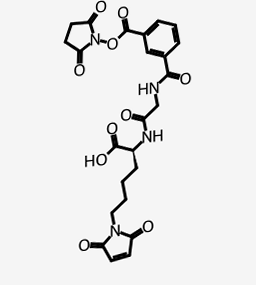 O=C(CNC(=O)c1cccc(C(=O)ON2C(=O)CCC2=O)c1)N[C@@H](CCCCN1C(=O)C=CC1=O)C(=O)O